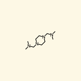 CN(C)CN1CCN(CN(C)C)CC1